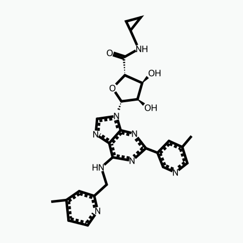 Cc1cncc(-c2nc(NCc3cc(C)ccn3)c3ncn([C@@H]4O[C@H](C(=O)NC5CC5)[C@@H](O)[C@H]4O)c3n2)c1